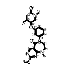 CSc1ncc2c(n1)N(C)CCN(c1cccc(OC(CN(C)C=O)C(C)C)c1)C2=O